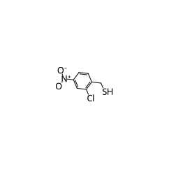 O=[N+]([O-])c1ccc(CS)c(Cl)c1